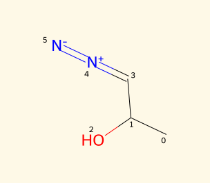 CC(O)C=[N+]=[N-]